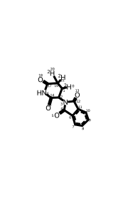 [2H]C1C(N2C(=O)c3ccccc3C2=O)C(=O)NC(=O)C1([2H])[2H]